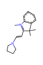 C[N+]1=C(/C=C/N2CCCC2)C(C)(C)c2ccccc21